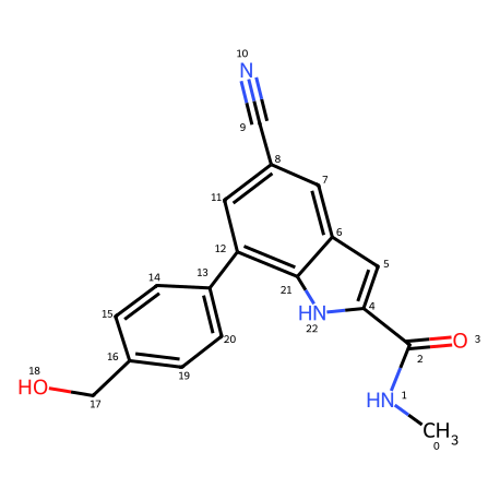 CNC(=O)c1cc2cc(C#N)cc(-c3ccc(CO)cc3)c2[nH]1